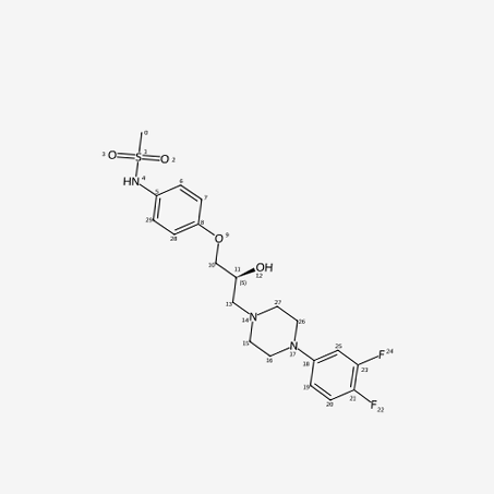 CS(=O)(=O)Nc1ccc(OC[C@@H](O)CN2CCN(c3ccc(F)c(F)c3)CC2)cc1